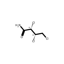 NC(=O)[C@H](Cl)[C@@H](Cl)CCl